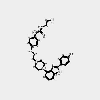 CCc1ccc(-c2nc3c(N4CCN(CCOc5ccc(NC(=O)NCCCl)cc5)CC4)cccc3[nH]2)cc1